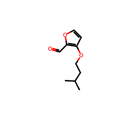 CC(C)CCOc1ccoc1C=O